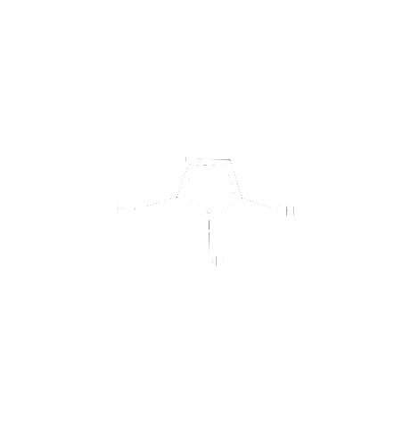 Cc1coc(C)c1O